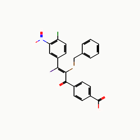 O=C(O)c1ccc(C(=O)C(SCc2ccccc2)=C(I)c2ccc(F)c([N+](=O)[O-])c2)cc1